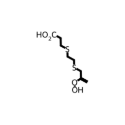 C=C(CSCCSCCC(=O)O)OO